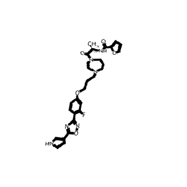 C[C@H](NC(=O)c1ccco1)C(=O)N1CCCN(CCCOc2ccc(-c3noc(-c4cc[nH]c4)n3)c(F)c2)CC1